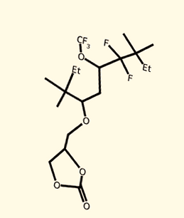 CCC(C)(C)C(CC(OC(F)(F)F)C(F)(F)C(C)(C)CC)OCC1COC(=O)O1